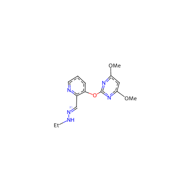 CCN/N=C/c1ncccc1Oc1nc(OC)cc(OC)n1